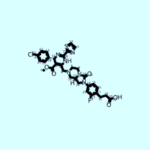 COC(=O)C1=C(CN2CCN3C(=O)N(c4ccc(CCC(=O)O)c(F)c4)C[C@@H]3C2)NC(c2nccs2)=N[C@H]1c1ccc(Cl)cc1